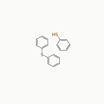 Sc1ccccc1.c1ccc(Sc2ccccc2)cc1